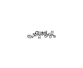 O=C(NC12CC(C1)C2)O[C@@H]1CO[C@H](c2cc(Nc3nccc4nc(CN5CCOCC5)cn34)n[nH]2)[C@@H]1F